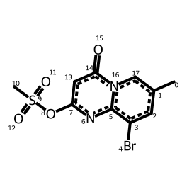 Cc1cc(Br)c2nc(OS(C)(=O)=O)cc(=O)n2c1